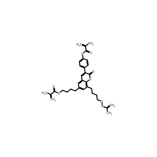 C=C(C)OOCCCCc1cc(CCCCOC(=O)C(=C)C)cc2cc(-c3ccc(OC(=O)C(=C)C)cc3)c(=O)oc12